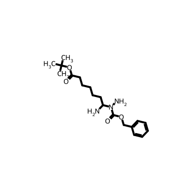 CC(C)(C)OC(=O)CCCCCC(N)N(N)C(=O)OCc1ccccc1